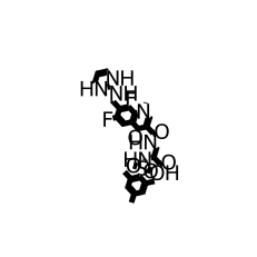 Cc1cc(C)c(S(=O)(=O)NC(CNC(=O)c2cn(C)c3c(F)c(CNC4NC=CCN4)c(F)cc3c2=O)C(=O)O)c(C)c1